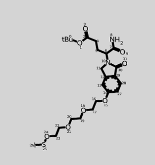 CC(C)(C)OC(=O)CCC(C(N)=O)N1Cc2cc(OCCOCCOCCOSI)ccc2C1=O